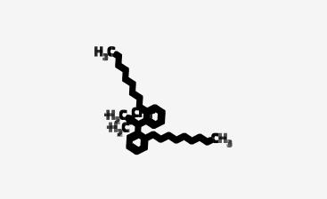 [CH2]C([CH2])([CH2])[C](c1ccccc1CCCCCCCCC)c1ccccc1CCCCCCCCC